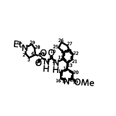 CCN1CCC(S(=O)(=O)NC(=O)Nc2c(-c3ccnc(OC)c3)ccc3c2CCC3)CC1